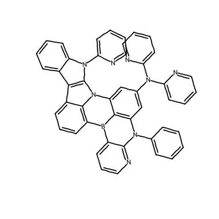 c1ccc(N2c3cc(N(c4ccccn4)c4ccccn4)cc4c3B(c3cccnc32)c2cccc3c5c6ccccc6n(-c6ccccn6)c5n-4c23)cc1